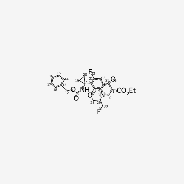 CCOC(=O)c1cn2c3c(c(C4(NC(=O)OCc5ccccc5)CC4)c(F)cc3c1=O)OCC2CF